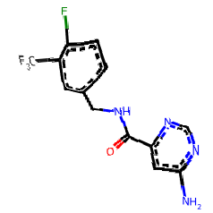 Nc1cc(C(=O)NCc2ccc(F)c(C(F)(F)F)c2)ncn1